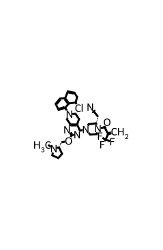 C=C(C(=O)N1CCN(c2nc(OC[C@@H]3CCCN3C)nc3c2CCN(c2cccc4c2C(Cl)CC=C4)C3)C[C@@H]1CC#N)C(F)(F)F